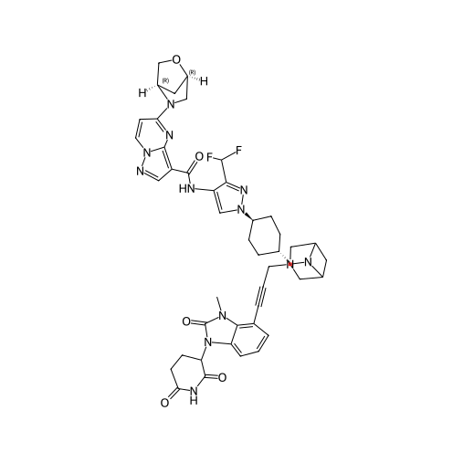 Cn1c(=O)n(C2CCC(=O)NC2=O)c2cccc(C#CCN3CC4CC(C3)N4C[C@H]3CC[C@H](n4cc(NC(=O)c5cnn6ccc(N7C[C@H]8C[C@@H]7CO8)nc56)c(C(F)F)n4)CC3)c21